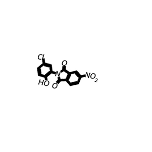 O=C1c2ccc([N+](=O)[O-])cc2C(=O)N1c1cc(Cl)ccc1O